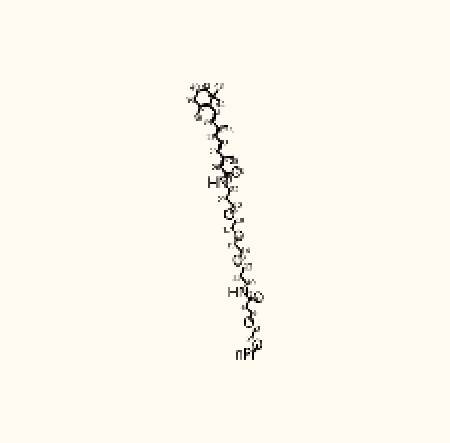 CCCOCCOCCC(=O)NCCCOCCOCCOCCCNC(=O)/C=C(C)/C=C/C=C(C)/C=C/C1=C(C)CCCC1(C)C